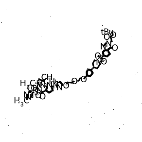 Cc1nn(C)cc1S(=O)(=O)NC(=O)c1ccc(-n2ccc(OCCOCCOc3ccc(C4CCN(S(=O)(=O)c5ccc6c(=O)n(CC(=O)OC(C)(C)C)cnc6c5)CC4)cc3)n2)nc1N1C[C@@H](C)CC1(C)C